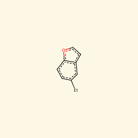 CCc1ccc2o[c]cc2c1